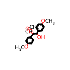 COC.COc1ccc(C(=O)C(O)c2ccc(OC)cc2)cc1